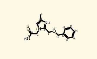 Cc1cn(CC(=O)O)c(COCc2ccccc2)n1